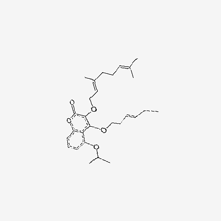 CC/C=C/CCOc1c(OC/C=C(\C)CCC=C(C)C)c(=O)oc2cccc(OC(C)C)c12